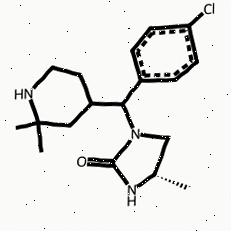 [CH2][C@H]1CN(C(c2ccc(Cl)cc2)C2CCNC(C)(C)C2)C(=O)N1